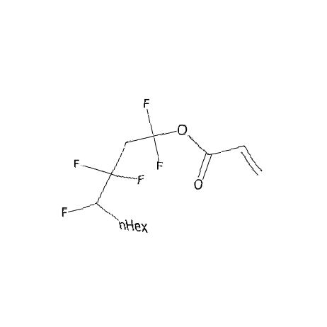 C=CC(=O)OC(F)(F)CC(F)(F)C(F)CCCCCC